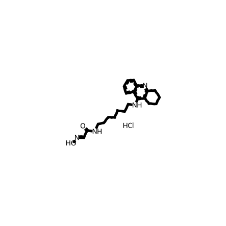 Cl.O=C(C=NO)NCCCCCCCNc1c2c(nc3ccccc13)CCCC2